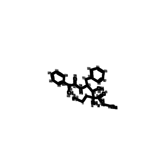 CC(C)CCC(N)(C(=O)NC(C)(C)C)C(O)C(Cc1ccccc1)NC(=O)N(C)c1ccccc1